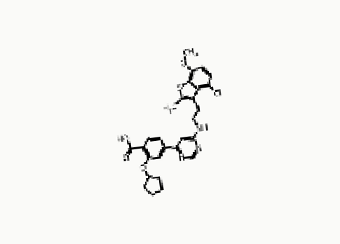 COc1ccc(Cl)c2c(CCNc3cc(-c4ccc(C(=O)O)c(OC5CCCC5)c4)ncn3)c(C)sc12